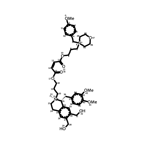 COc1ccc(C[N+]2(CCCOC(=O)/C=C\C(=O)OCCC[N@+]3(C)CCc4cc(CO)c(CO)cc4[C@H]3Cc3ccc(OC)c(OC)c3)CCOCC2)cc1